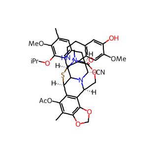 COc1cc2c(cc1O)CCN[C@]21CS[C@@H]2c3c(OC(C)=O)c(C)c4c(c3[C@H](COC1=O)N1C2[C@H]2c3c(cc(C)c(OC)c3OC(C)C)C[C@@H]([C@@H]1C#N)N2C)OCO4